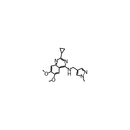 COc1cc2nc(C3CC3)nc(NCc3cnn(C)c3)c2cc1OC